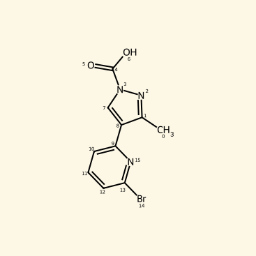 Cc1nn(C(=O)O)cc1-c1cccc(Br)n1